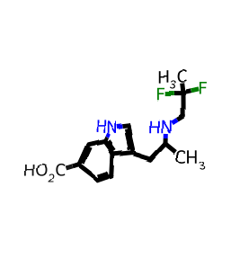 CC(Cc1c[nH]c2cc(C(=O)O)ccc12)NCC(C)(F)F